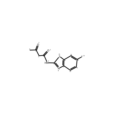 CC(=O)CC(=O)Nc1nc2ccc(F)cc2s1